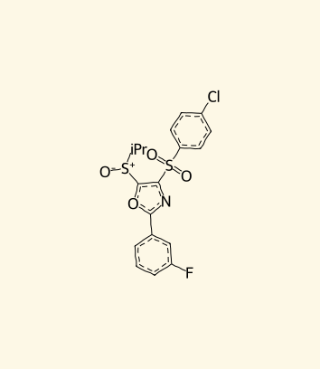 CC(C)[S+]([O-])c1oc(-c2cccc(F)c2)nc1S(=O)(=O)c1ccc(Cl)cc1